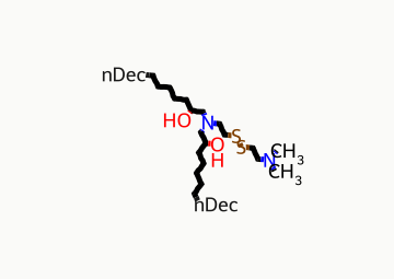 CCCCCCCCCCCCCCCC(O)CN(CCSSCCN(C)C)CC(O)CCCCCCCCCCCCCCC